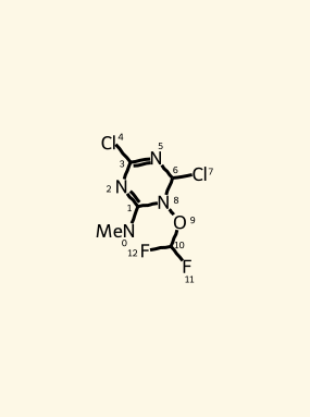 CNC1=NC(Cl)=NC(Cl)N1OC(F)F